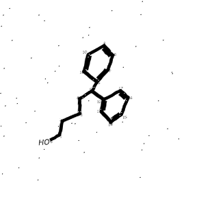 OCCCCC(c1ccccc1)c1ccccc1